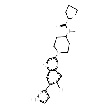 CN(C(=O)[C@H]1CCCO1)C1CCN(c2cnc3cc(-c4cc[nH]n4)c(Cl)cc3n2)CC1